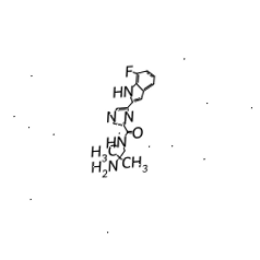 CC(C)(N)CNC(=O)c1cncc(-c2cc3cccc(F)c3[nH]2)n1